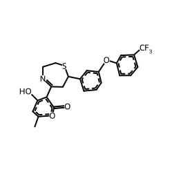 Cc1cc(O)c(C2=NCCSC(c3cccc(Oc4cccc(C(F)(F)F)c4)c3)C2)c(=O)o1